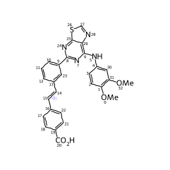 COc1ccc(Nc2nc(-c3cccc(/C=C/c4ccc(C(=O)O)cc4)c3)nc3scnc23)cc1OC